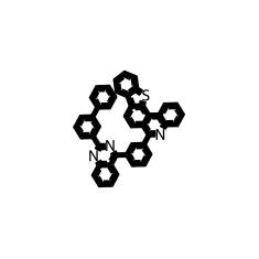 c1ccc(-c2cccc(-c3nc(-c4cccc(-c5nc6ccccc6c6c5ccc5c7ccccc7sc56)c4)c4ccccc4n3)c2)cc1